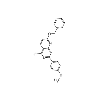 COc1ccc(-c2cc3nc(OCc4ccccc4)ccc3c(Cl)n2)cc1